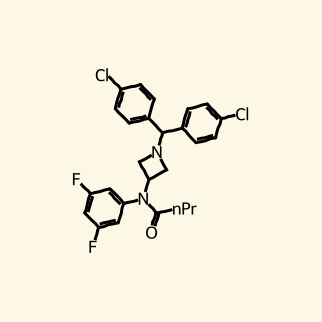 CCCC(=O)N(c1cc(F)cc(F)c1)C1CN(C(c2ccc(Cl)cc2)c2ccc(Cl)cc2)C1